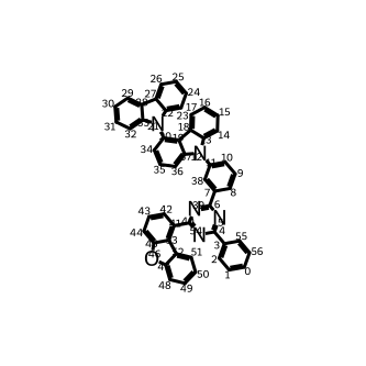 c1ccc(-c2nc(-c3cccc(-n4c5ccccc5c5c(-n6c7ccccc7c7ccccc76)cccc54)c3)nc(-c3cccc4oc5ccccc5c34)n2)cc1